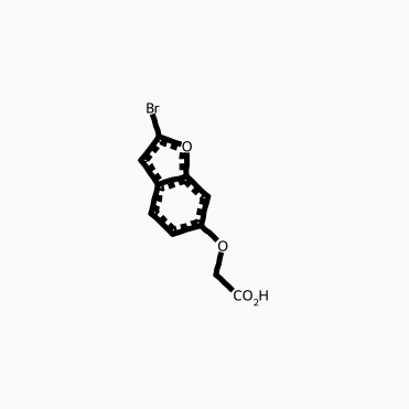 O=C(O)COc1ccc2cc(Br)oc2c1